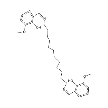 COc1cccc(/C=N\CCCCCCCCCCCC/N=C\c2cccc(OC)c2O)c1O